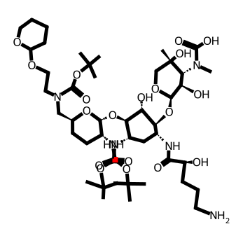 CN(C(=O)O)[C@@H]1[C@@H](O)[C@@H](O[C@@H]2[C@@H](O)[C@H](O[C@H]3O[C@H](CN(CCOC4CCCCO4)C(=O)OC(C)(C)C)CC[C@H]3NC(=O)OC(C)(C)C)[C@@H](NC(=O)OC(C)(C)C)C[C@H]2NC(=O)[C@@H](O)CCCN)OC[C@]1(C)O